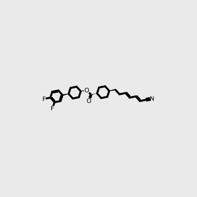 N#CC=CC=CCC[C@H]1CC[C@H](C(=O)O[C@H]2CC[C@H](c3ccc(F)c(F)c3)CC2)CC1